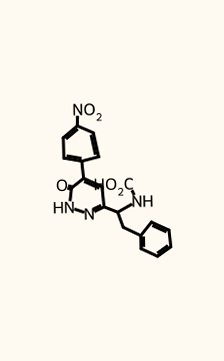 O=C(O)NC(Cc1ccccc1)c1cc(-c2ccc([N+](=O)[O-])cc2)c(=O)[nH]n1